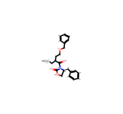 O=C(O)CC(CCOCc1ccccc1)C(=O)N1C(=O)OC[C@@H]1Cc1ccccc1